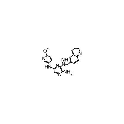 COc1ccc(Nc2cnc(N)c(N(N)Cc3ccc4ncccc4c3)n2)cn1